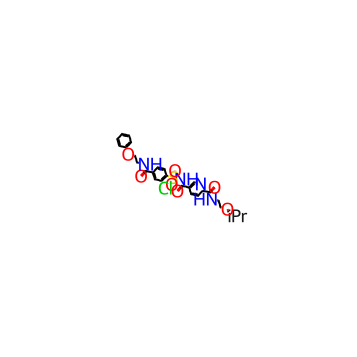 CC(C)OCCNC(=O)c1ccc(C(=O)NS(=O)(=O)c2ccc(C(=O)NCCOc3ccccc3)cc2Cl)cn1